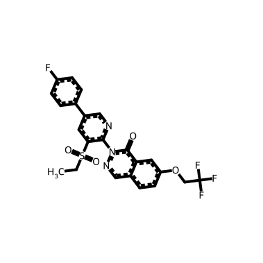 CCS(=O)(=O)c1cc(-c2ccc(F)cc2)cnc1-n1ncc2ccc(OCC(F)(F)F)cc2c1=O